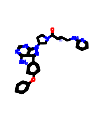 Nc1ncnc2c1c(-c1ccc(Oc3ccccc3)cc1)nn2C1CCN(C(=O)/C=C/CNc2ccccn2)C1